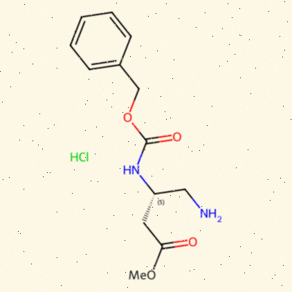 COC(=O)C[C@@H](CN)NC(=O)OCc1ccccc1.Cl